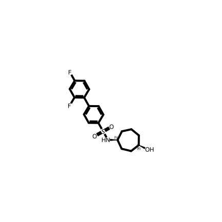 O=S(=O)(N[C@H]1CCC[C@@H](O)CC1)c1ccc(-c2ccc(F)cc2F)cc1